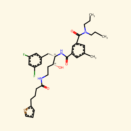 CCCN(CCC)C(=O)c1cc(C)cc(C(=O)N[C@@H](Cc2cc(F)cc(F)c2)[C@H](O)CCNC(=O)CCCc2cccs2)c1